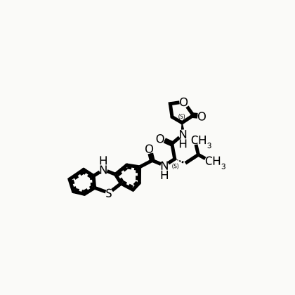 CC(C)C[C@H](NC(=O)c1ccc2c(c1)Nc1ccccc1S2)C(=O)N[C@H]1CCOC1=O